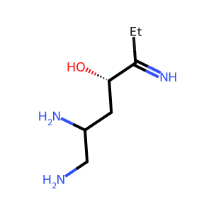 CCC(=N)[C@@H](O)CC(N)CN